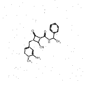 CC(NC(=O)N1C(=O)[C@H](CC2=CCN(C)C(N)=C2)C1C#N)c1ccccc1